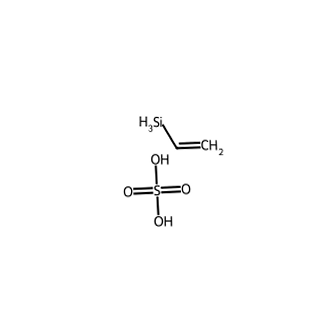 C=C[SiH3].O=S(=O)(O)O